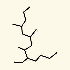 CCCCC(CC)C(C)CC(C)CC(C)CCC